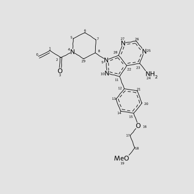 C=CC(=O)N1CCCC(n2nc(-c3ccc(OCCOC)cc3)c3c(N)ncnc32)C1